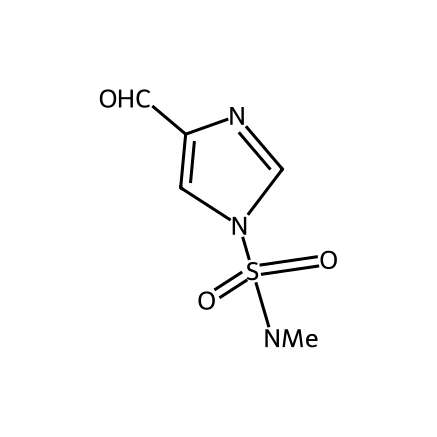 CNS(=O)(=O)n1cnc(C=O)c1